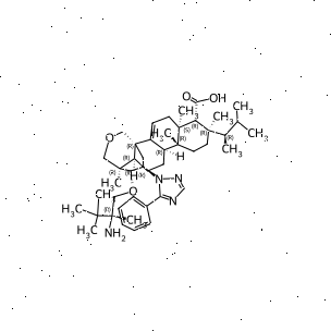 CC(C)[C@@H](C)[C@@]1(C)CC[C@]2(C)[C@H]3CC[C@@H]4[C@@]5(COC[C@]4(C)[C@@H](OC[C@](C)(N)C(C)(C)C)[C@H](n4ncnc4-c4ccccc4)C5)C3=CC[C@@]2(C)[C@@H]1C(=O)O